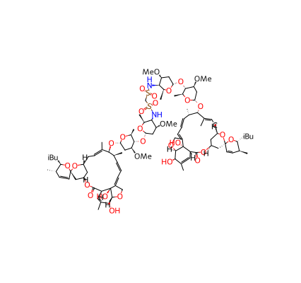 CCC(C)[C@H]1O[C@]2(C=C[C@@H]1C)C[C@@H]1C[C@@H](C/C=C(\C)[C@@H](O[C@H]3C[C@H](OC)[C@@H](O[C@H]4C[C@H](OC)[C@H](NS(=O)(=O)CS(=O)(=O)N[C@@H]5[C@H](C)O[C@@H](O[C@H]6[C@H](C)O[C@@H](O[C@@H]7/C(C)=C/C[C@@H]8C[C@@H](C[C@]9(C=C[C@H](C)[C@@H](C(C)CC)O9)O8)OC(=O)[C@@H]8C=C(C)[C@@H](O)[C@H]9OC/C(=C\C=C\[C@@H]7C)[C@]98O)C[C@@H]6OC)C[C@@H]5OC)[C@H](C)O4)[C@H](C)O3)[C@@H](C)/C=C/C=C3\CO[C@@H]4[C@H](O)C(C)=C[C@@H](C(=O)O1)[C@]34O)O2